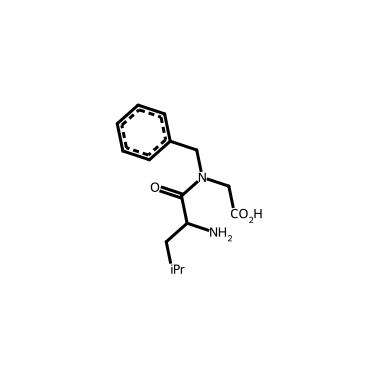 CC(C)CC(N)C(=O)N(CC(=O)O)Cc1ccccc1